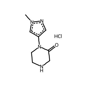 Cl.Cn1cc(N2CCNCC2=O)cn1